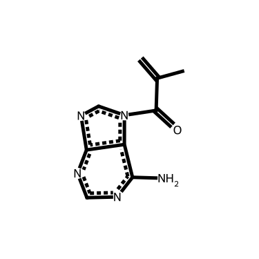 C=C(C)C(=O)n1cnc2ncnc(N)c21